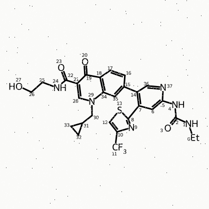 CCNC(=O)Nc1cc(-c2nc(C(F)(F)F)cs2)c(-c2ccc3c(=O)c(C(=O)NCCO)cn(CC4CC4)c3c2)cn1